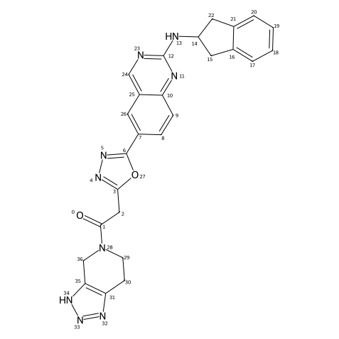 O=C(Cc1nnc(-c2ccc3nc(NC4Cc5ccccc5C4)ncc3c2)o1)N1CCc2nn[nH]c2C1